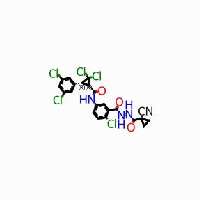 N#CC1(C(=O)NNC(=O)c2cc(NC(=O)[C@H]3[C@H](c4cc(Cl)cc(Cl)c4)C3(Cl)Cl)ccc2Cl)CC1